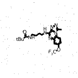 Cc1nnc2c(NCCCCNC(=O)C(C)(C)C)nc3cc(OC(F)(F)F)ccc3n12